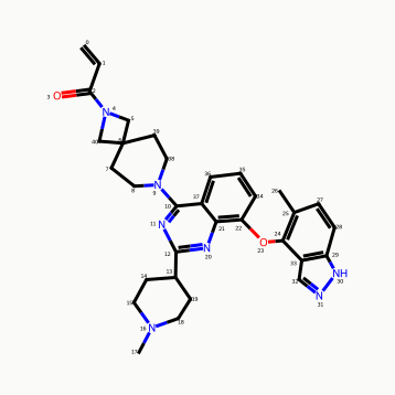 C=CC(=O)N1CC2(CCN(c3nc(C4CCN(C)CC4)nc4c(Oc5c(C)ccc6[nH]ncc56)cccc34)CC2)C1